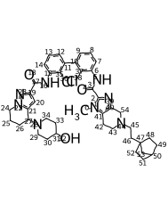 Cn1c(C(=O)Nc2cccc(-c3cccc(NC(=O)c4cc5n(n4)CCCC5N4CCC(O)CC4)c3Cl)c2Cl)nc2c1CCN(CCC13CCC(CC1)C3)C2